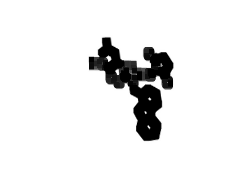 CC(C)CC(NC(=O)OCc1cccc2c1Cc1ccccc1-2)C(=O)O.O=C1CCC(=O)N1O